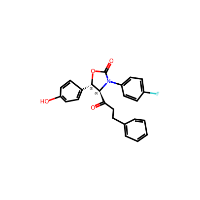 O=C(CCc1ccccc1)[C@H]1[C@H](c2ccc(O)cc2)OC(=O)N1c1ccc(F)cc1